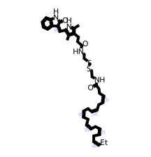 CC/C=C\C/C=C\C/C=C\C/C=C\C/C=C\C/C=C\CCC(=O)NCCSSCCNC(=O)CCc1c(C)[nH]c(/C=C2\C(=O)Nc3ccccc32)c1C